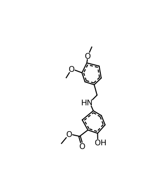 COC(=O)c1cc(NCc2ccc(OC)c(OC)c2)ccc1O